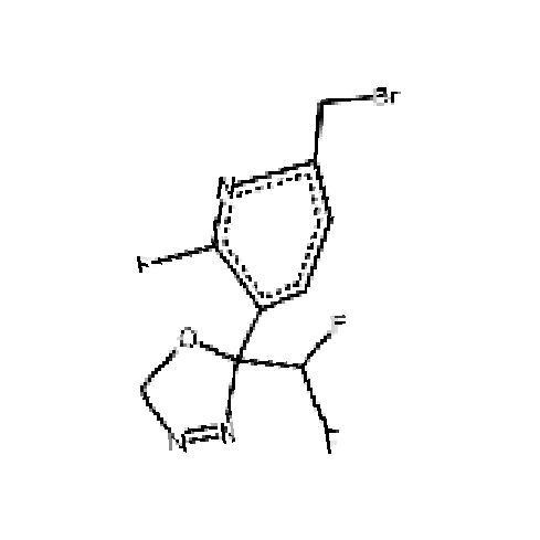 Fc1nc(CBr)ccc1C1(C(F)F)N=NCO1